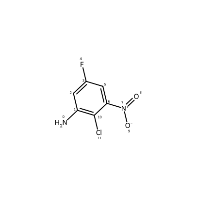 Nc1cc(F)cc([N+](=O)[O-])c1Cl